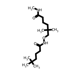 CNC(=O)CCCC(C)(C)CONC(=O)CCCC(C)(C)C